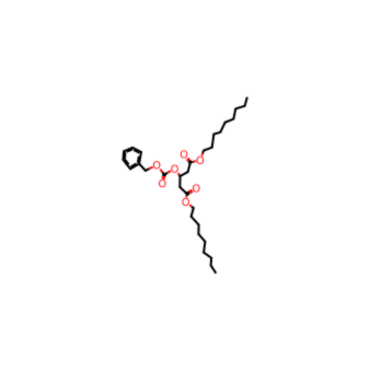 CCCCCCCCCOC(=O)CC(CC(=O)OCCCCCCCCC)OC(=O)OCc1ccccc1